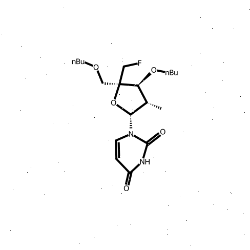 CCCCOC[C@@]1(CF)O[C@@H](n2ccc(=O)[nH]c2=O)[C@@H](C)[C@@H]1OCCCC